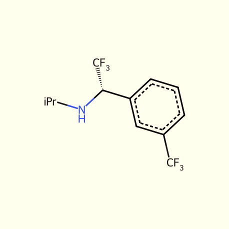 CC(C)N[C@@H](c1cccc(C(F)(F)F)c1)C(F)(F)F